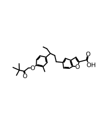 CCC(CCc1ccc2oc(C(=O)O)cc2c1)c1ccc(OCC(=O)C(C)(C)C)c(C)c1